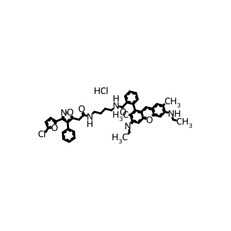 CCN=c1cc2oc3cc(NCC)c(C)cc3cc-2c(-c2ccccc2C(=O)NCCCCNC(=O)Cc2onc(-c3ccc(Cl)o3)c2-c2ccccc2)c1C.Cl